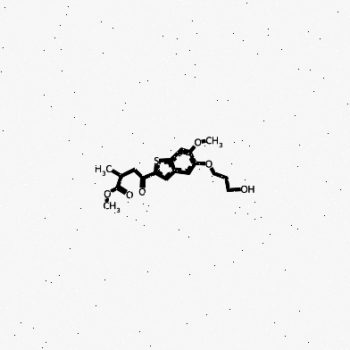 COC(=O)C(C)CC(=O)c1cc2cc(OCCCO)c(OC)cc2s1